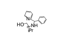 CC(C)[C@H](CO)NC(c1ccccc1)c1ccccn1